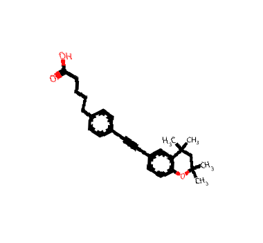 CC1(C)CC(C)(C)c2cc(C#Cc3ccc(CCCCC(=O)O)cc3)ccc2O1